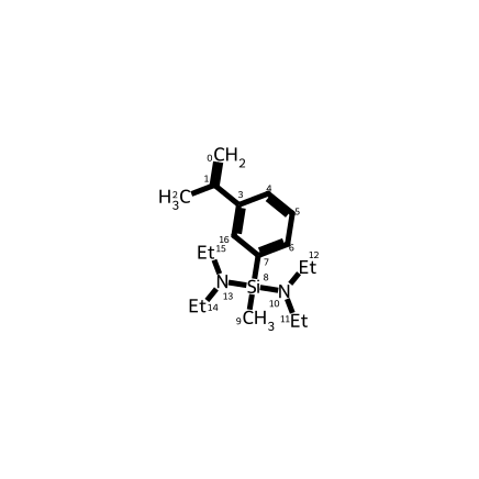 C=C(C)c1cccc([Si](C)(N(CC)CC)N(CC)CC)c1